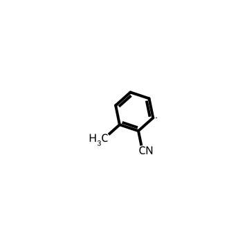 Cc1ccc[c]c1C#N